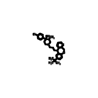 CC1CN(CCCC2c3cc(C(C)(C)C)ccc3OCc3ncccc32)CCC1(O)c1ccc(Cl)cc1